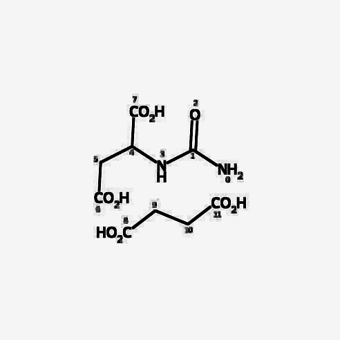 NC(=O)NC(CC(=O)O)C(=O)O.O=C(O)CCC(=O)O